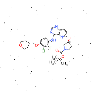 CC(C)(C)OC(=O)N1CC[C@H](Oc2ccc3ncnc(Nc4ccc(OCC5CCOCC5)c(Cl)c4F)c3n2)C1